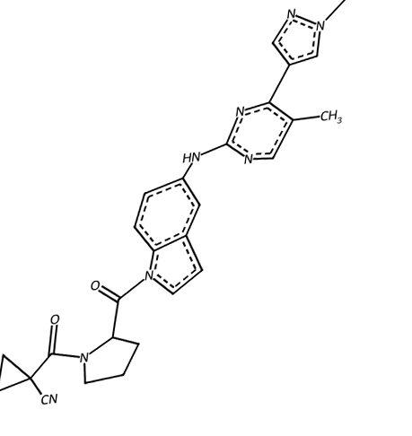 Cc1cnc(Nc2ccc3c(ccn3C(=O)C3CCCN3C(=O)C3(C#N)CC3)c2)nc1-c1cnn(C(C)C)c1